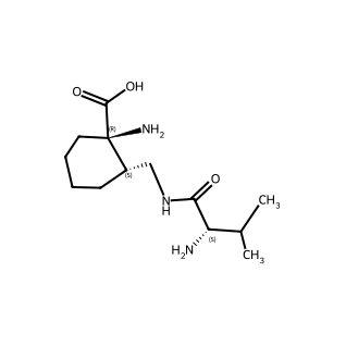 CC(C)[C@H](N)C(=O)NC[C@@H]1CCCC[C@]1(N)C(=O)O